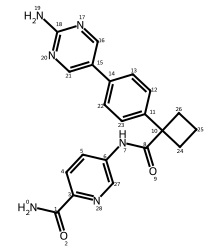 NC(=O)c1ccc(NC(=O)C2(c3ccc(-c4cnc(N)nc4)cc3)CCC2)cn1